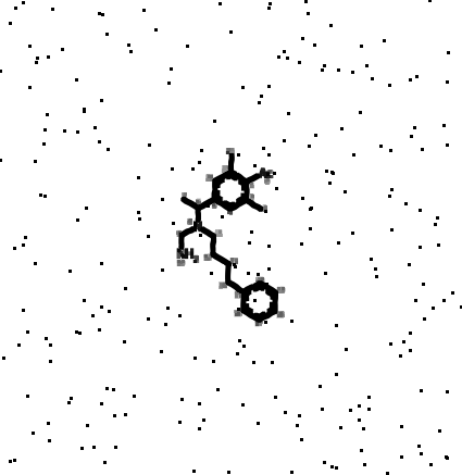 CC(=O)c1c(C)cc(C(C)N(CN)CCCCc2ccccc2)cc1C